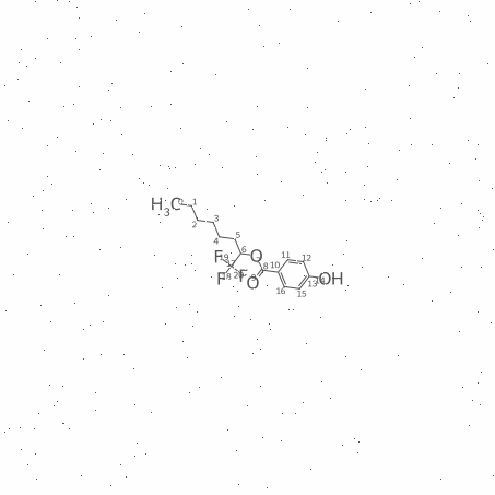 CCCCCCC(OC(=O)c1ccc(O)cc1)C(F)(F)F